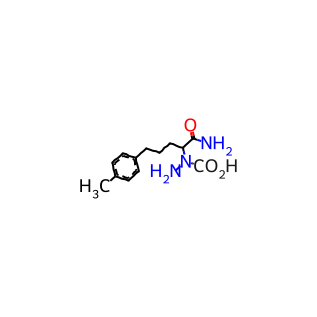 Cc1ccc(CCCC(C(N)=O)N(N)C(=O)O)cc1